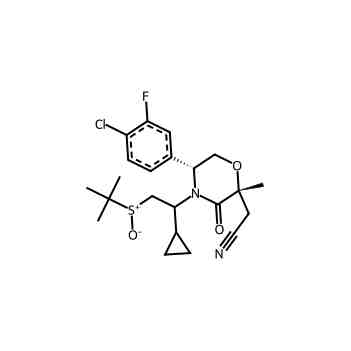 CC(C)(C)[S+]([O-])CC(C1CC1)N1C(=O)[C@@](C)(CC#N)OC[C@H]1c1ccc(Cl)c(F)c1